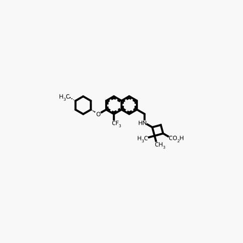 CC1(C)C(NCc2ccc3ccc(O[C@H]4CC[C@@H](C)CC4)c(C(F)(F)F)c3c2)CC1C(=O)O